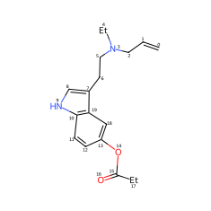 C=CCN(CC)CCc1c[nH]c2ccc(OC(=O)CC)cc12